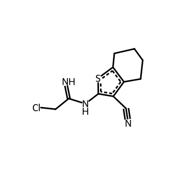 N#Cc1c(NC(=N)CCl)sc2c1CCCC2